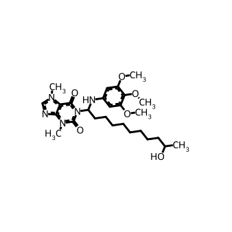 COc1cc(NC(CCCCCCCCC(C)O)n2c(=O)c3c(ncn3C)n(C)c2=O)cc(OC)c1OC